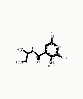 CC(CO)NC(=O)c1cc(Cl)nc(Cl)c1N